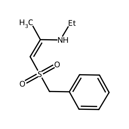 CCNC(C)=CS(=O)(=O)Cc1ccccc1